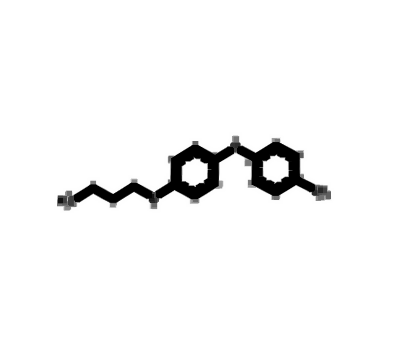 CCCCOc1ccc(Oc2ccc(C)cc2)cc1